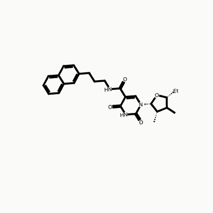 CC[C@H]1O[C@@H](n2cc(C(=O)NCCCc3ccc4ccccc4c3)c(=O)[nH]c2=O)[C@@H](C)C1C